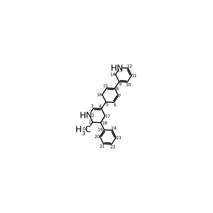 CC1NC=C(C2C=CC(C3=CC=CNC3)=CC2)CC1c1ccccc1